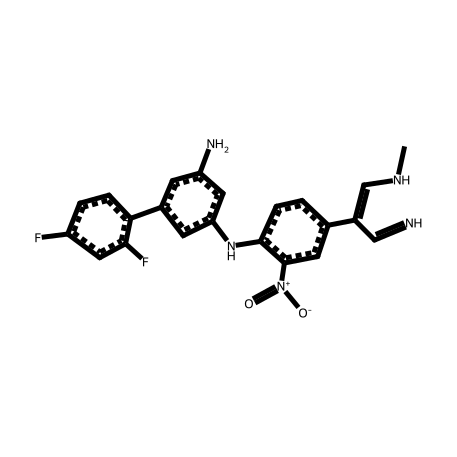 CN/C=C(\C=N)c1ccc(Nc2cc(N)cc(-c3ccc(F)cc3F)c2)c([N+](=O)[O-])c1